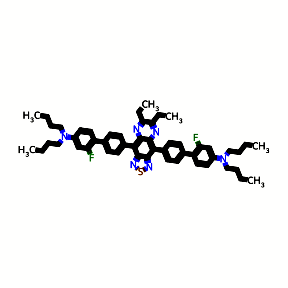 CCCCN(CCCC)c1ccc(-c2ccc(-c3c4nsnc4c(-c4ccc(-c5ccc(N(CCCC)CCCC)cc5F)cc4)c4nc(CC)c(CC)nc34)cc2)c(F)c1